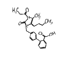 CCCCc1c(C)n(C(=O)CC)c(=O)n1Cc1ccc(-c2ccccc2C(=O)O)cc1